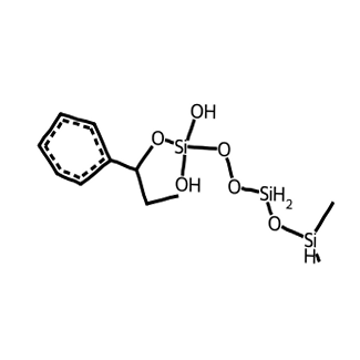 CCC(O[Si](O)(O)OO[SiH2]O[SiH](C)C)c1ccccc1